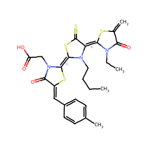 C=c1s/c(=c2\c(=S)s/c(=c3/sc(=Cc4ccc(C)cc4)c(=O)n3CC(=O)O)n2CCCC)n(CC)c1=O